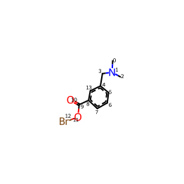 CN(C)Cc1cccc(C(=O)OBr)c1